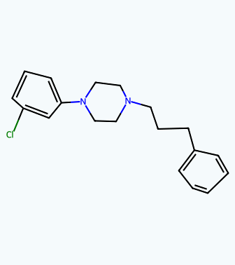 Clc1cccc(N2CCN(CCCc3ccccc3)CC2)c1